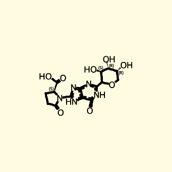 O=C(O)[C@@H]1CCC(=O)N1c1nc2nc(C3OC[C@@H](O)[C@@H](O)[C@@H]3O)[nH]c(=O)c2[nH]1